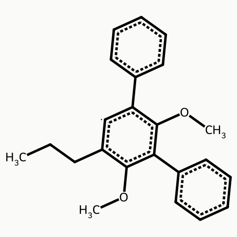 CCCc1[c]c(-c2ccccc2)c(OC)c(-c2ccccc2)c1OC